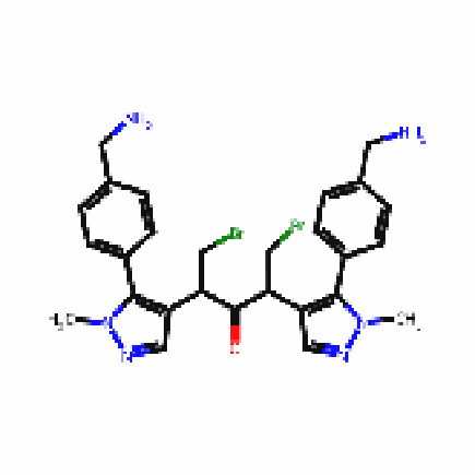 Cn1ncc(C(CBr)C(=O)C(CBr)c2cnn(C)c2-c2ccc(CN)cc2)c1-c1ccc(CN)cc1